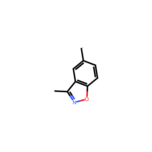 [CH2]c1ccc2onc(C)c2c1